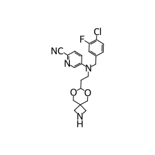 N#Cc1ccc(N(CCC2OCC3(CNC3)CO2)Cc2ccc(Cl)c(F)c2)cn1